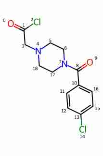 O=C(Cl)CN1CCN(C(=O)c2ccc(Cl)cc2)CC1